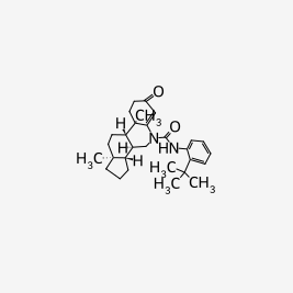 CC(C)(C)c1ccccc1NC(=O)N1C[C@H]2[C@@H]3CCC[C@@]3(C)CC[C@@H]2[C@@]2(C)CCC(=O)C=C12